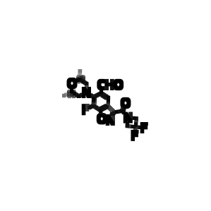 C[C@@H]1CN(c2c(C=O)cc3c(C(=O)N4CC(F)(F)C4)noc3c2F)C[C@H](C)O1